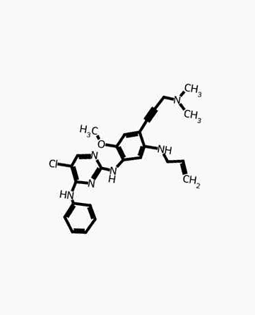 C=CCNc1cc(Nc2ncc(Cl)c(Nc3ccccc3)n2)c(OC)cc1C#CCN(C)C